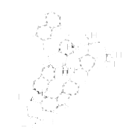 Cc1cc2c(cc1Nc1ccc3sc4cc5c(cc4c3c1-c1c3c(cc4ccccc14)C1Cc4ccc6ccccc6c4-c4cccc(c41)B3)C(C)(C)CCC5(C)C)C(C)(C)CCC2(C)C